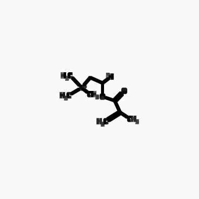 [2H]C(C[N+](C)(C)C)OC(=O)C(=C)C